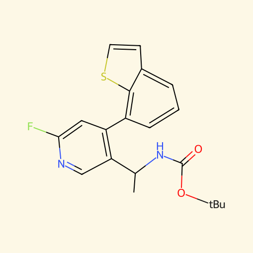 CC(NC(=O)OC(C)(C)C)c1cnc(F)cc1-c1cccc2ccsc12